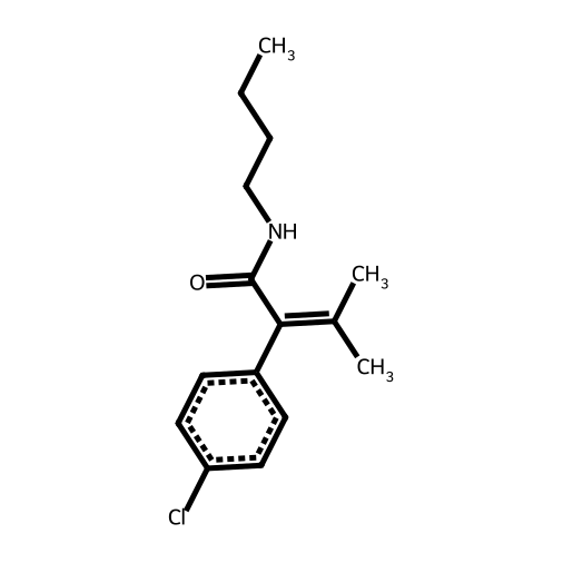 CCCCNC(=O)C(=C(C)C)c1ccc(Cl)cc1